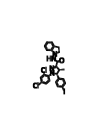 C[C@@H]1C(C(=O)NN2CCc3ccccc32)=NN(c2ccc(Cl)cc2Cl)[C@@H]1c1ccc(I)cc1